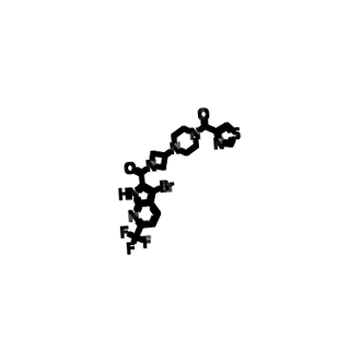 O=C(c1cscn1)N1CCN(C2CN(C(=O)c3[nH]c4nc(C(F)(F)F)ccc4c3Br)C2)CC1